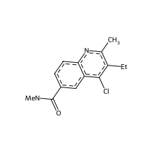 CCc1c(C)nc2ccc(C(=O)NC)cc2c1Cl